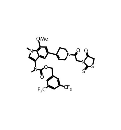 COc1cc(C2=CCN(C(=O)CN3C(=O)CSC3=S)CC2)cc2c(N(C)C(=O)OCc3cc(C(F)(F)F)cc(C(F)(F)F)c3)cn(C)c12